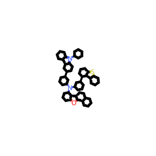 c1ccc(-n2c3ccccc3c3cc(-c4cccc(N(c5cccc(-c6cccc7sc8ccccc8c67)c5)c5cccc6oc7c8ccccc8ccc7c56)c4)ccc32)cc1